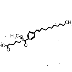 CCCCCCCCC/C=C/c1ccc(C(=O)N(CCCCC(=O)O)OC)cc1